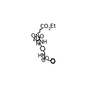 CCOC(=O)CCCCn1c(=O)c2[nH]c(C3CCC(CNC(=O)OCc4ccccc4)CC3)nc2n(C)c1=O